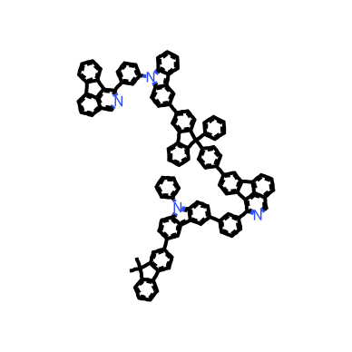 CC1(C)c2ccccc2-c2ccc(-c3ccc4c(c3)c3cc(-c5cccc(-c6ncc7cccc8c7c6-c6ccc(-c7ccc(C9(c%10ccccc%10)c%10ccccc%10-c%10cc(-c%11ccc%12c(c%11)c%11ccccc%11n%12-c%11cccc(-c%12ncc%13cccc%14c%13c%12-c%12ccccc%12-%14)c%11)ccc%109)cc7)cc6-8)c5)ccc3n4-c3ccccc3)cc21